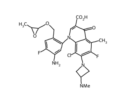 CNC1CN(c2c(F)c(C)c3c(=O)c(C(=O)O)cn(-c4cc(N)c(F)cc4COC4OC4C)c3c2Cl)C1